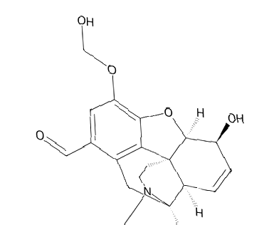 CN1CC[C@]23c4c5c(C=O)cc(OCO)c4O[C@H]2[C@@H](O)C=C[C@H]3[C@H]1C5